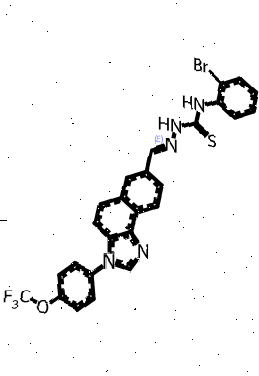 FC(F)(F)Oc1ccc(-n2cnc3c4ccc(/C=N/NC(=S)Nc5ccccc5Br)cc4ccc32)cc1